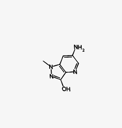 Cn1nc(O)c2ncc(N)cc21